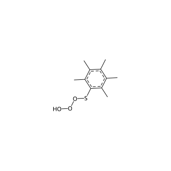 Cc1c(C)c(C)c(SOOO)c(C)c1C